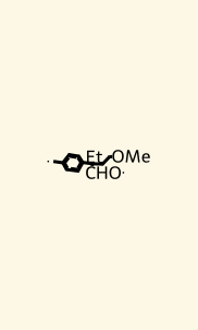 [CH2]c1ccc(C([C]=O)(CC)CCOC)cc1